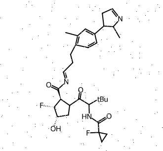 Cc1cc(C2CC=NC2C)ccc1CC/C=N/C(=O)[C@H]1C(C(=O)C(NC(=O)C2(F)CC2)C(C)(C)C)C[C@H](O)[C@@H]1F